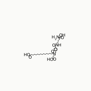 N[C@@H](CCCCNC(=O)c1ccc(CN(CCC(=O)O)C(=O)CCCCCCCCCCCCCCC(=O)O)cc1)C(=O)O